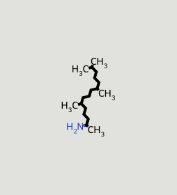 CC(C)CCCC(C)CCCC(C)CCCC(C)N